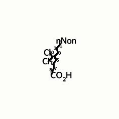 CCCCCCCCCCCCCCCCCC(=O)O.ClCCl